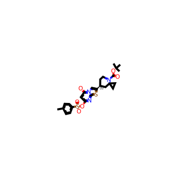 Cc1ccc(S(=O)(=O)Oc2cc(=O)n3cc([C@H]4CCN(C(=O)OC(C)(C)C)C5(CC5)C4)sc3n2)cc1